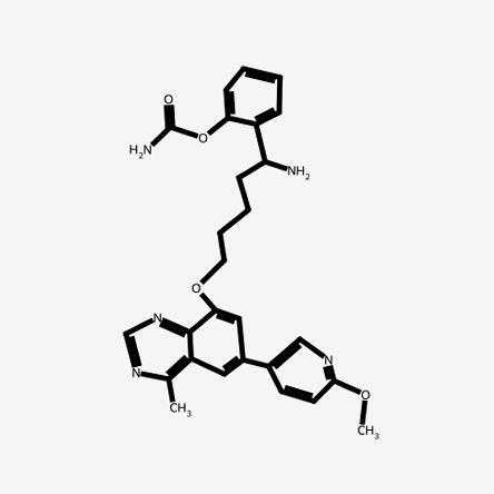 COc1ccc(-c2cc(OCCCCC(N)c3ccccc3OC(N)=O)c3ncnc(C)c3c2)cn1